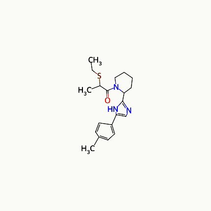 CCSC(C)C(=O)N1CCCCC1c1ncc(-c2ccc(C)cc2)[nH]1